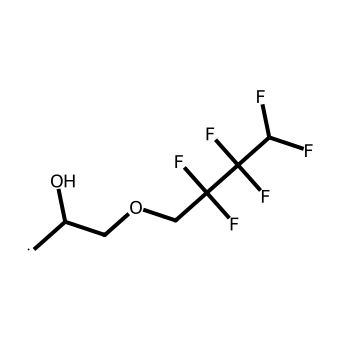 [CH2]C(O)COCC(F)(F)C(F)(F)C(F)F